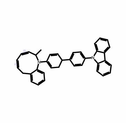 CC1/C=C\C=C/Cc2ccccc2N1C1=CCC(c2ccc(-n3c4ccccc4c4ccccc43)cc2)C=C1